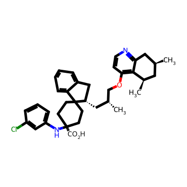 C[C@@H]1Cc2nccc(OC[C@H](C)C[C@H]3Cc4ccccc4C34CCC(Nc3cccc(Cl)c3)(C(=O)O)CC4)c2[C@H](C)C1